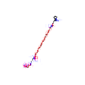 NC(=O)C(CCCCNC(=O)c1ccc([N+](=O)[O-])o1)NC(=O)CCOCCOCCOCCOCCOCCOCCOCCOCCNC(=O)CCCc1c[nH]c2ccccc12